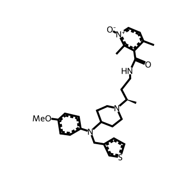 COc1ccc(N(Cc2ccsc2)C2CCN([C@H](C)CCNC(=O)c3c(C)cc[n+]([O-])c3C)CC2)cc1